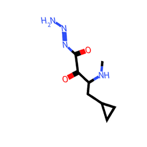 CNC(CC1CC1)C(=O)C(=O)N=NN